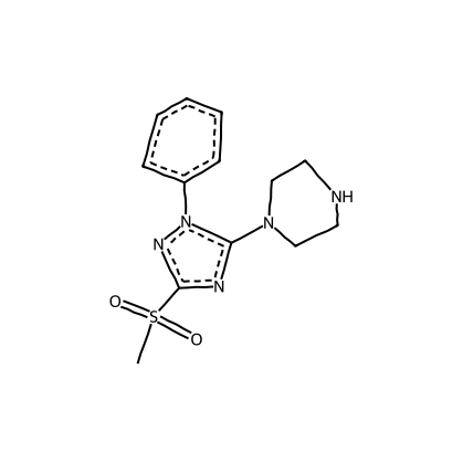 CS(=O)(=O)c1nc(N2CCNCC2)n(-c2ccccc2)n1